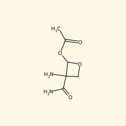 CC(=O)OC1OCC1(N)C(N)=O